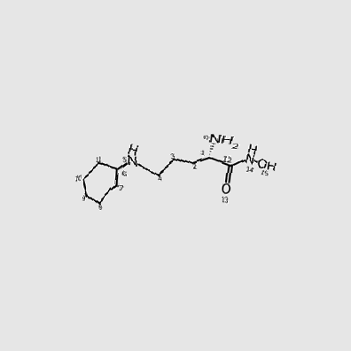 N[C@@H](CCCNC1CCCCC1)C(=O)NO